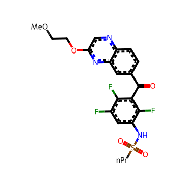 CCCS(=O)(=O)Nc1cc(F)c(F)c(C(=O)c2ccc3ncc(OCCOC)nc3c2)c1F